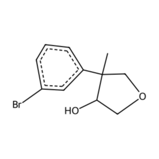 CC1(c2cccc(Br)c2)COCC1O